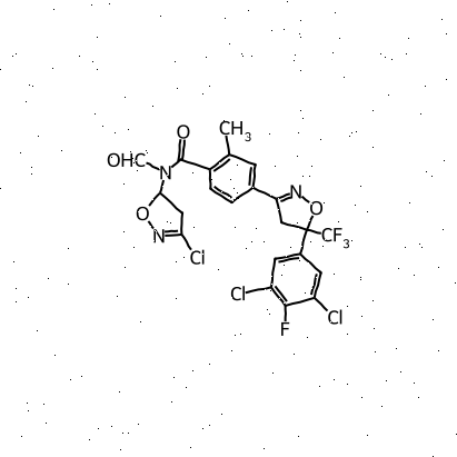 Cc1cc(C2=NOC(c3cc(Cl)c(F)c(Cl)c3)(C(F)(F)F)C2)ccc1C(=O)N(C=O)C1CC(Cl)=NO1